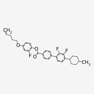 C=CCCCOc1ccc(OC(=O)c2ccc(-c3ccc(C4CCC(C)CC4)c(F)c3F)cc2)c(F)c1